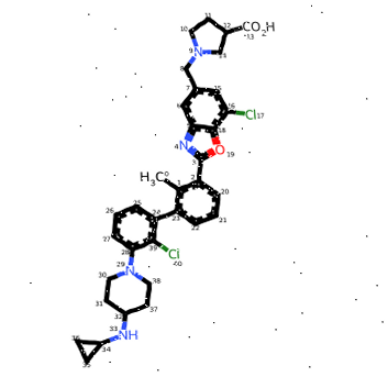 Cc1c(-c2nc3cc(CN4CCC(C(=O)O)C4)cc(Cl)c3o2)cccc1-c1cccc(N2CCC(NC3CC3)CC2)c1Cl